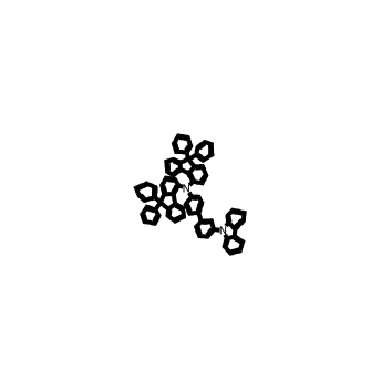 c1ccc(C2(c3ccccc3)c3ccccc3-c3c(N(c4ccc(-c5cccc(-n6c7ccccc7c7ccccc76)c5)cc4)c4cccc5c4-c4ccccc4C5(c4ccccc4)c4ccccc4)cccc32)cc1